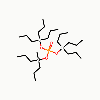 CCC[Si](C)(CCC)OP(=O)(O[Si](CCC)(CCC)CCC)O[Si](CCC)(CCC)CCC